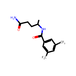 CC(CCC(N)=O)NC(=O)c1cc(C(F)(F)F)cc(C(F)(F)F)c1